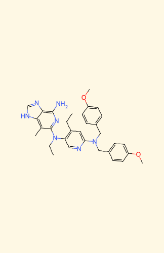 CCc1cc(N(Cc2ccc(OC)cc2)Cc2ccc(OC)cc2)ncc1N(CC)c1nc(N)c2nc[nH]c2c1C